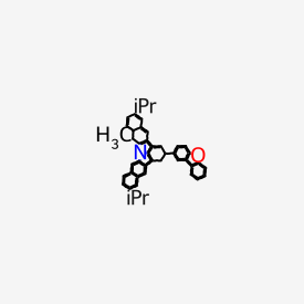 CC(C)C1=CC2=Cc3c(n4c5c(c6cc7cc(C(C)C)ccc7cc64)CC(c4ccc6oc7ccccc7c6c4)C=c35)CC2(C)C=C1